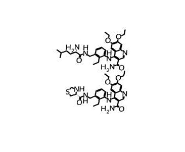 CCOc1cc2ncc(C(N)=O)c(Nc3cccc(CNC(=O)[C@@H](N)CCC(C)C)c3CC)c2cc1OCC.CCOc1cc2ncc(C(N)=O)c(Nc3cccc(CNC(=O)[C@@H]4CSCN4)c3CC)c2cc1OCC